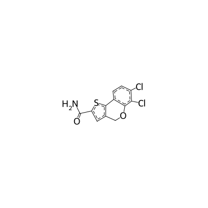 NC(=O)c1cc2c(s1)-c1ccc(Cl)c(Cl)c1OC2